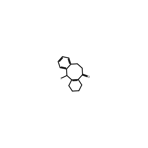 O=C1CCc2ccccc2C(I)C2=C1CCCC2